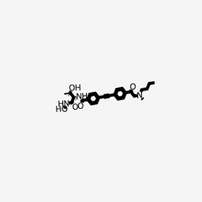 CCCCN(C)CC(=O)c1ccc(C#Cc2ccc(C(=O)N[C@H](C(=O)NO)[C@@H](C)O)cc2)cc1